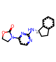 O=C1OCCN1c1ccnc(N[C@H]2CCc3ccccc32)n1